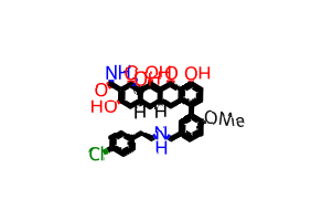 COc1ccc(CNCCc2ccc(Cl)cc2)cc1-c1ccc(O)c2c1C[C@H]1C[C@H]3CC(O)=C(C(N)=O)C(=O)[C@@]3(O)C(O)=C1C2=O